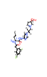 CCCC(NC(=O)Cc1cc(F)cc(F)c1)C(=O)Nc1cn(C(C)(C)CN2CCC(O)C2)cn1